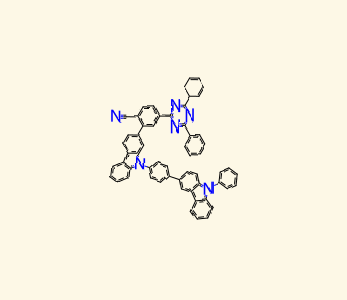 N#Cc1ccc(-c2nc(-c3ccccc3)nc(C3C=CC=CC3)n2)cc1-c1ccc2c3ccccc3n(-c3ccc(-c4ccc5c(c4)c4ccccc4n5-c4ccccc4)cc3)c2c1